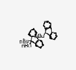 CCCCC1(CCCC)c2ccccc2-c2ccccc21.CCCCC1c2ccccc2-c2ccccc21